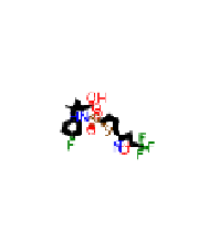 C[C@@]1(c2ccc(F)cc2)C[C@]1(NS(=O)(=O)c1ccc(-c2cc(C(F)(F)F)on2)s1)C(=O)O